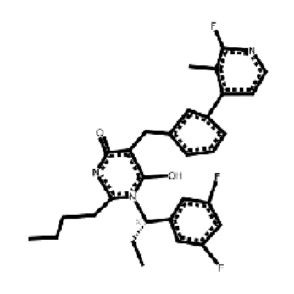 CCCCc1nc(=O)c(Cc2cccc(-c3ccnc(F)c3C)c2)c(O)n1[C@@H](CC)c1cc(F)cc(F)c1